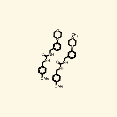 COc1ccc(CNC(=O)NCc2cccc(N3CCN(C)CC3)c2)cc1.COc1ccc(CNC(=O)NCc2cccc(N3CCOCC3)c2)cc1